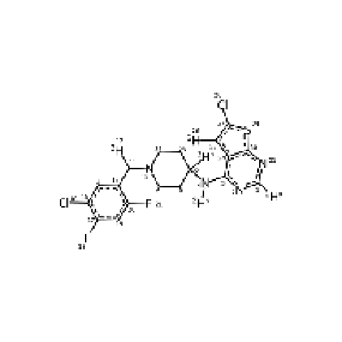 [2H]c1nc(N([2H])C2([2H])CCN(C([2H])c3cc(Cl)c(F)cc3F)CC2)c2c([2H])c(Cl)sc2n1